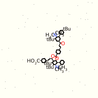 CN(C)c1c(-c2ccc(C(C)(C)C)cc2)cc(C(=O)/C=C/c2ccc(C(=O)OC(/C=C/c3ccc(C(=O)O)cc3)c3cc(-c4ccccc4)c(N(C)C)c(C(C)(C)C)c3C(C)(C)C)cc2)cc1C(C)(C)C